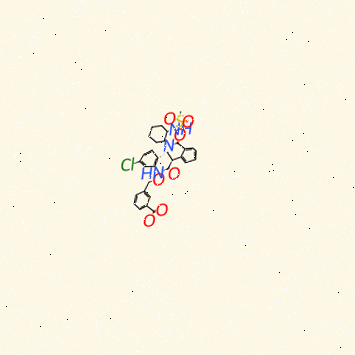 COC(=O)c1cccc(CONC(=O)[C@@H]2c3ccccc3C(=O)N([C@H]3CCCC[C@@H]3NS(C)(=O)=O)[C@H]2c2ccc(Cl)cc2)c1